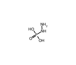 NNP(=O)(O)O